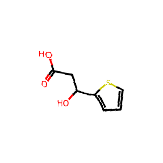 O=C(O)CC(O)c1cccs1